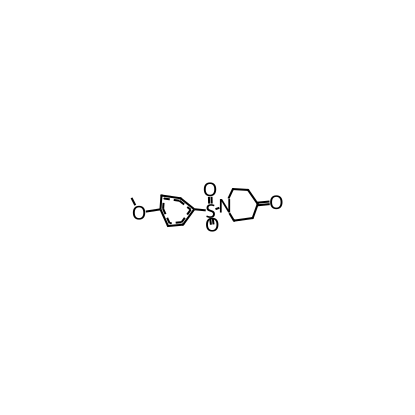 COc1ccc(S(=O)(=O)N2CCC(=O)CC2)cc1